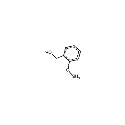 OCc1ccccc1O[SiH3]